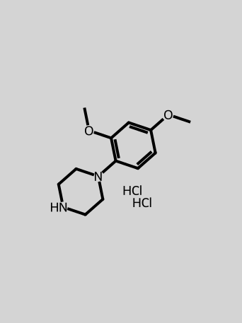 COc1ccc(N2CCNCC2)c(OC)c1.Cl.Cl